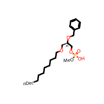 CCCCCCCCCCCCCCCCCCOC[C@H](COP(=O)(O)OC)OCc1ccccc1